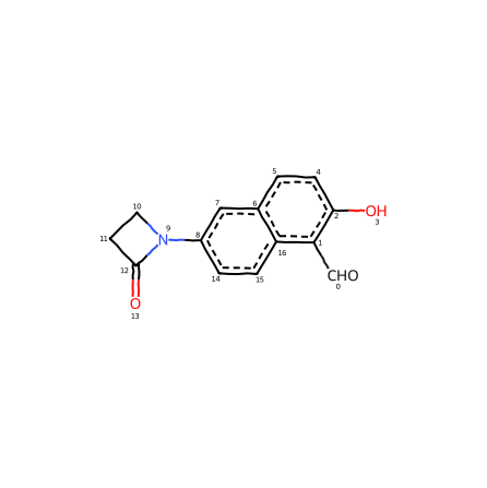 O=Cc1c(O)ccc2cc(N3CCC3=O)ccc12